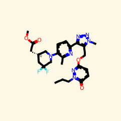 CCCn1nc(OCc2c(-c3ccc(N4C[C@@H](CC(=O)OC)CC(F)(F)C4)c(C)n3)nnn2C)ccc1=O